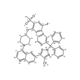 CS(=O)(=O)c1cc(F)ccc1OC1CCN(c2ccnc3ccc(-c4cn(C(c5ccccc5)(c5ccccc5)c5ccccc5)nc4C(F)(F)F)cc23)CC1